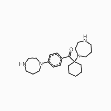 O=C(c1ccc(N2CCCNCC2)cc1)C1(N2CCCNCC2)CCCCC1